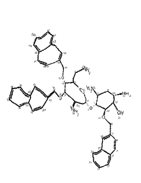 NCC1O[C@H](O[C@@H]2C(N)C[C@@H](N)C(O)[C@H]2OCc2ccc3ccccc3c2)C(N)[C@@H](OCc2ccc3ccccc3c2)[C@@H]1OCc1ccc2ccccc2c1